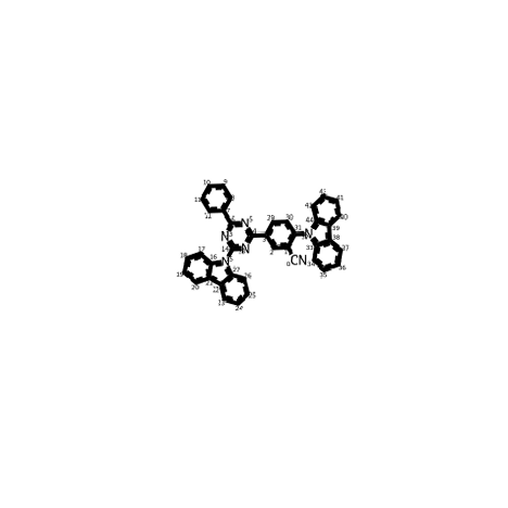 N#Cc1cc(-c2nc(-c3ccccc3)nc(-n3c4ccccc4c4ccccc43)n2)ccc1-n1c2ccccc2c2ccccc21